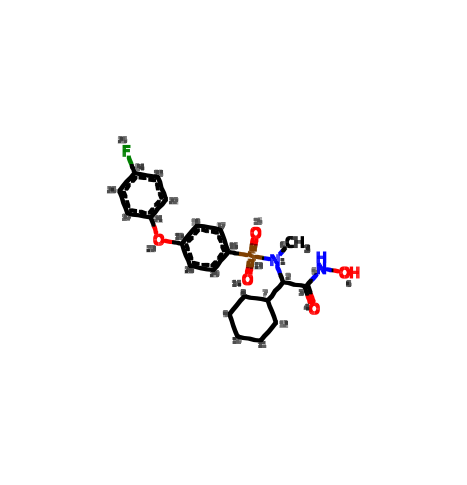 CN(C(C(=O)NO)C1CCCCC1)S(=O)(=O)c1ccc(Oc2ccc(F)cc2)cc1